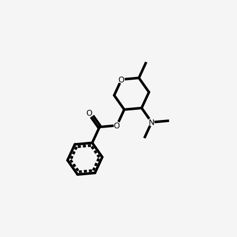 CC1CC(N(C)C)C(OC(=O)c2ccccc2)CO1